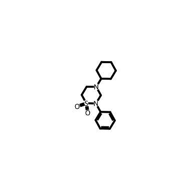 O=S1(=O)CCN(C2CCCCC2)CN1c1ccccc1